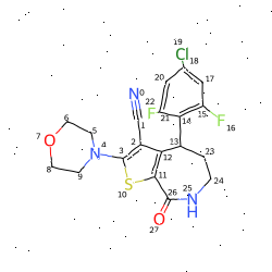 N#Cc1c(N2CCOCC2)sc2c1C(c1c(F)cc(Cl)cc1F)CCNC2=O